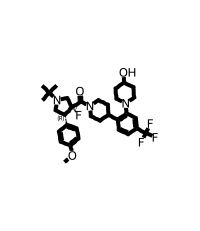 COc1ccc([C@@H]2CN(C(C)(C)C)C[C@@]2(F)C(=O)N2CCC(c3ccc(C(F)(F)F)cc3N3CCC(O)CC3)CC2)cc1